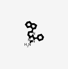 Nc1nc(-c2ccccc2)c2nc(-c3cccc4ccccc34)ccc2n1